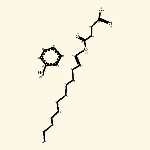 CCCCCCCCCCC=COC(=O)CCC(=O)[O-].[Hg+][c]1ccccc1